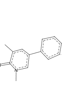 Cc1cc(-c2c[c]ccc2)cn(C)c1=O